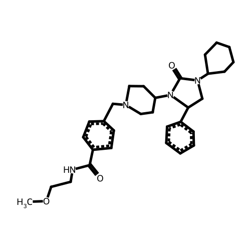 COCCNC(=O)c1ccc(CN2CCC(N3C(=O)N(C4CCCCC4)CC3c3ccccc3)CC2)cc1